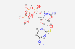 [N-]=[N+]=N[C@]1(COP(=O)(O)OP(=O)(O)OP(=O)(O)O)O[C@@H](n2ccc(N)nc2=S)[C@@H](O)C1O